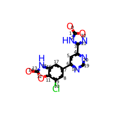 O=c1[nH]c(-c2cc(-c3cc(Cl)c4oc(=O)[nH]c4c3)ncn2)no1